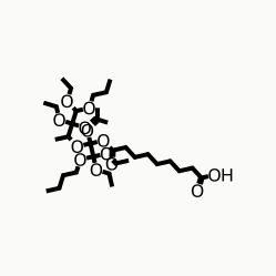 CCCCOC(OCC)(OCC)C(OCC)(OC(=O)CCCCCCCC(=O)O)OC(C)C(OCC)(OCC)C(OCC)OCCC